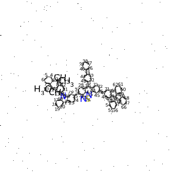 CC1(C)c2ccccc2C(C)(C)c2cc(-n3c4ccccc4c4ccc(-c5ccc(C(c6ccc(-c7ccccc7)cc6)c6ccc(-c7ccc(C(c8ccccc8)(c8ccccc8)c8ccccc8)cc7)cc6)c6nsnc56)cc43)ccc21